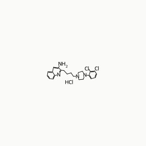 Cl.Nc1cc2ccccc2nc1CCCCN1CCN(c2cccc(Cl)c2Cl)CC1